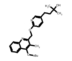 CCCCOc1c(C)c(COc2ccc(CCC(C)(C)O)cn2)nc2ccccc12